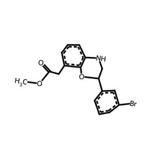 COC(=O)Cc1cccc2c1OC(c1cccc(Br)c1)CN2